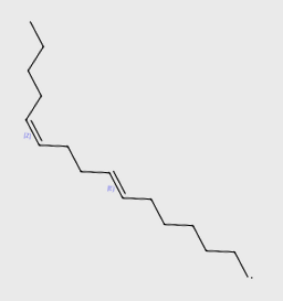 [CH2]CCCCC/C=C/CC/C=C\CCCC